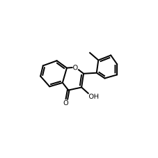 Cc1ccccc1-c1oc2ccccc2c(=O)c1O